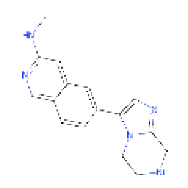 CNc1cc2cc(-c3cnc4n3CCNC4)ccc2cn1